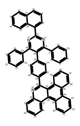 c1ccc(-c2nc(-c3cccc4ccccc34)nc(-c3ccccc3)c2-c2ccc(-c3nc4ccccc4c4c5ccccc5c5ccccc5c34)cc2)cc1